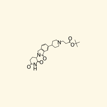 CC(C)(C)OC(=O)CCN1CCC(c2ccc3c(c2)C(=O)N(C2CCC(=O)NC2=O)C3)CC1